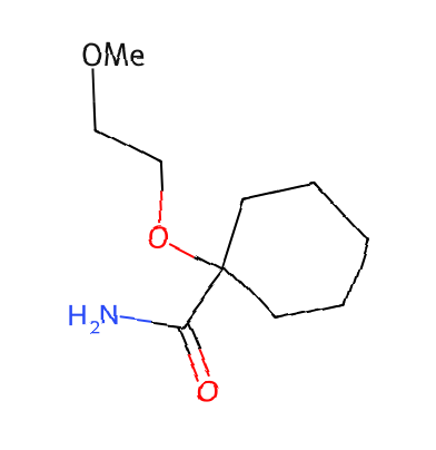 COCCOC1(C(N)=O)CCCCC1